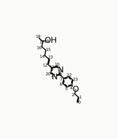 C=CCOc1ccc(-c2ncc(C=CCCCC(C)O)cn2)cc1